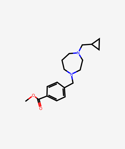 COC(=O)c1ccc(CN2CCCN(CC3CC3)CC2)cc1